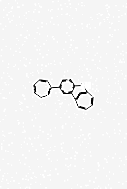 C1=C2C=CC=CC=1c1cc(C3=CCC=CC=C3)ccc1N2